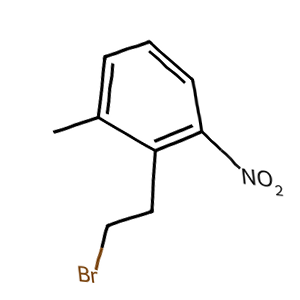 Cc1cccc([N+](=O)[O-])c1CCBr